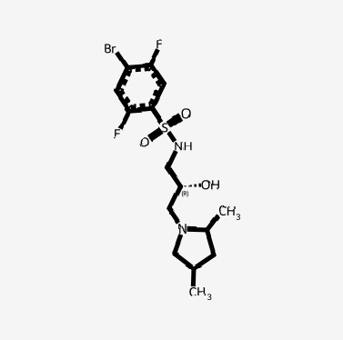 CC1CC(C)N(C[C@@H](O)CNS(=O)(=O)c2cc(F)c(Br)cc2F)C1